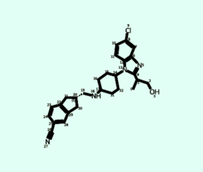 CC(CO)c1nc2cc(Cl)ccc2n1C1CCC(NC[C@H]2Cc3ccc(C#N)cc3C2)CC1